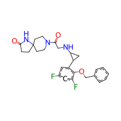 O=C1CCC2(CCN(C(=O)CNC3CC3c3cc(F)cc(F)c3OCc3ccccc3)CC2)N1